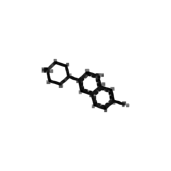 Fc1ccc2cc(C3CCNCC3)cnc2c1